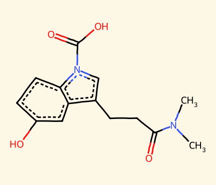 CN(C)C(=O)CCc1cn(C(=O)O)c2ccc(O)cc12